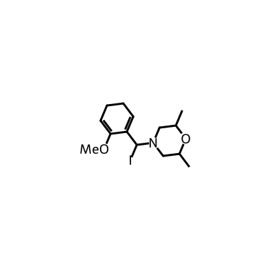 COC1=CCCC=C1C(I)N1CC(C)OC(C)C1